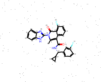 Cc1c(C(=O)N[C@H](c2cccc(F)c2)C2CC2)c2cccc(F)c2c(=O)n1-c1nc2ccccc2[nH]1